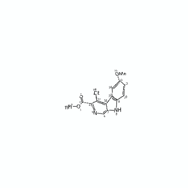 CCCOC(=O)c1ncc2[nH]c3ccc(OC)cc3c2c1CC